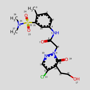 Cc1ccc(NC(=O)Cn2ncc(Cl)c(CCO)c2=O)cc1S(=O)(=O)N(C)C